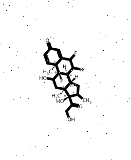 CC1C[C@H]2[C@@H]3C(Br)C(F)C4=CC(=O)C=C[C@]4(C)[C@@]3(F)C(O)C[C@]2(C)[C@@]1(O)C(=O)CO